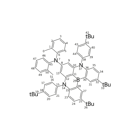 Cc1ccccc1N(c1cc2c3c(c1)N(c1ccc(C(C)(C)C)cc1)c1ccc(C(C)(C)C)cc1B3c1cc(C(C)(C)C)ccc1N2c1ccc(C(C)(C)C)cc1)c1ccccc1C